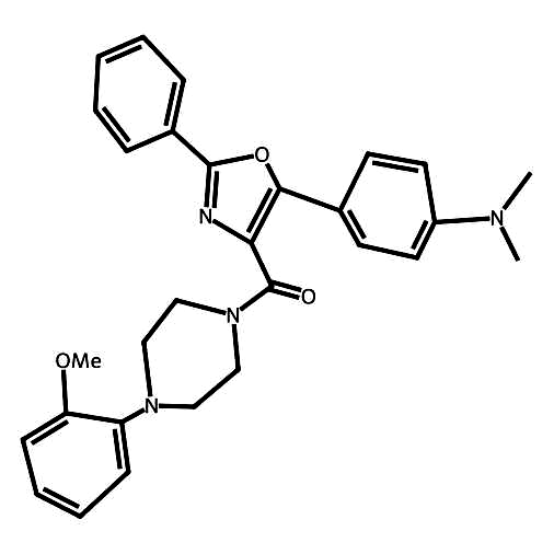 COc1ccccc1N1CCN(C(=O)c2nc(-c3ccccc3)oc2-c2ccc(N(C)C)cc2)CC1